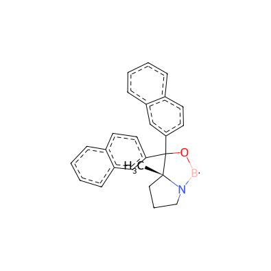 C[C@]12CCCN1[B]OC2(c1ccc2ccccc2c1)c1ccc2ccccc2c1